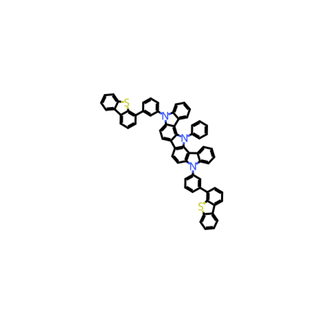 c1ccc(-n2c3c(ccc4c3c3ccccc3n4-c3cccc(-c4cccc5c4sc4ccccc45)c3)c3ccc4c(c5ccccc5n4-c4cccc(-c5cccc6c5sc5ccccc56)c4)c32)cc1